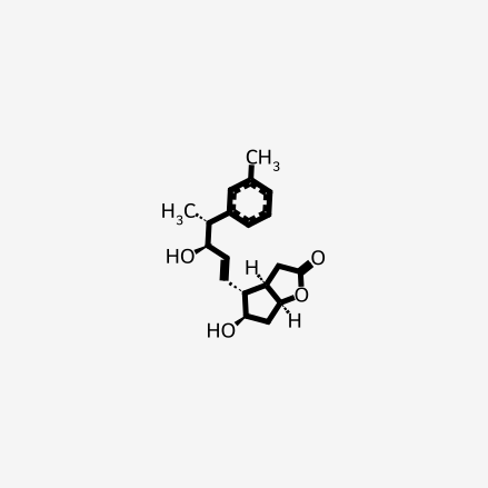 Cc1cccc([C@@H](C)[C@H](O)C=C[C@@H]2[C@H]3CC(=O)O[C@H]3C[C@H]2O)c1